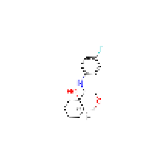 OC12CCCC[C@@H]1COCC2Nc1ccc(F)cc1